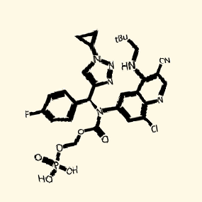 CC(C)(C)CNc1c(C#N)cnc2c(Cl)cc(N(C(=O)OCOP(=O)(O)O)[C@@H](c3ccc(F)cc3)c3cn(C4CC4)nn3)cc12